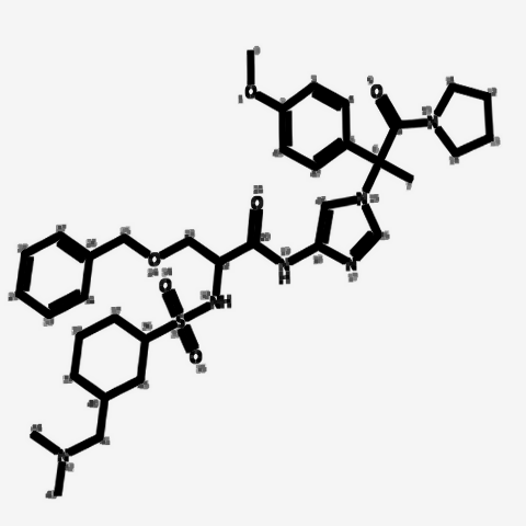 COc1ccc(C(C)(C(=O)N2CCCC2)n2cnc(NC(=O)C(COCc3ccccc3)NS(=O)(=O)C3CCCC(CN(C)C)C3)c2)cc1